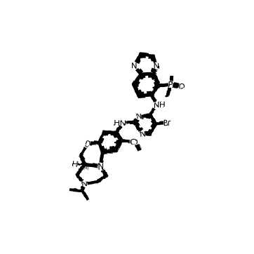 COc1cc2c(cc1Nc1ncc(Br)c(Nc3ccc4nccnc4c3P(C)(C)=O)n1)OC[C@H]1CN(C(C)C)CCN21